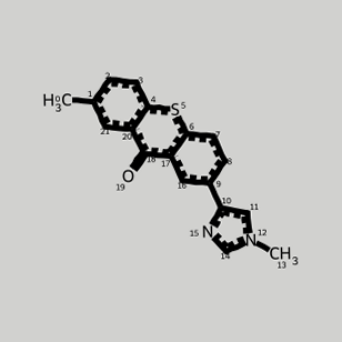 Cc1ccc2sc3ccc(-c4cn(C)cn4)cc3c(=O)c2c1